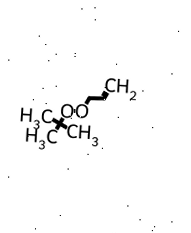 C=CCOOC(C)(C)C